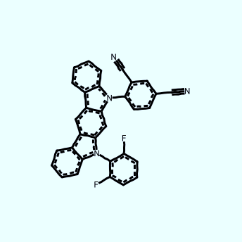 N#Cc1ccc(-n2c3ccccc3c3cc4c5ccccc5n(-c5c(F)cccc5F)c4cc32)c(C#N)c1